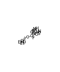 CCOC(OCC)C1=CC(C)(c2ccc(-c3cc(F)c4c(c3)C(=O)N(C(C(=O)Nc3nccs3)c3ncn5c3CCC5)C4)cc2)C1